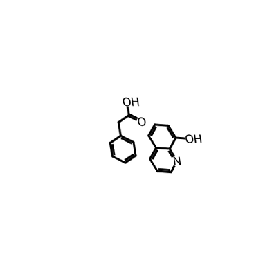 O=C(O)Cc1ccccc1.Oc1cccc2cccnc12